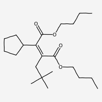 CCCCOC(=O)/C(CC(C)(C)C)=C(\C(=O)OCCCC)C1CCCC1